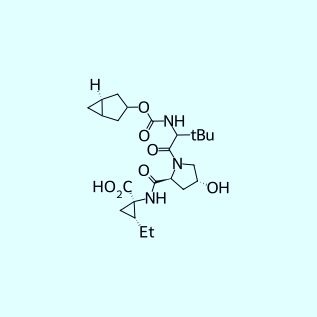 CC[C@@H]1C[C@]1(NC(=O)[C@@H]1C[C@@H](O)CN1C(=O)C(NC(=O)OC1CC2C[C@H]2C1)C(C)(C)C)C(=O)O